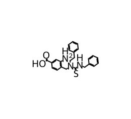 Nc1cc(C(=O)O)ccc1CN(CCc1ccccc1)C(=S)NCc1ccccc1